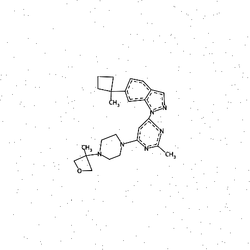 Cc1nc(N2CCN(C3(C)COC3)CC2)cc(-n2ncc3ccc(C4(C)CCC4)cc32)n1